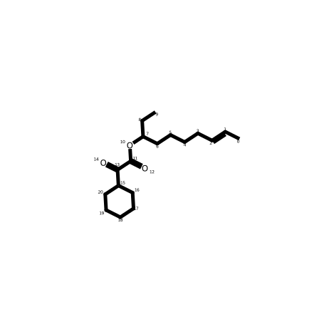 CC=CCCCCC(CC)OC(=O)C(=O)C1CCCCC1